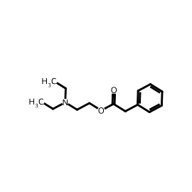 CCN(CC)CCOC(=O)Cc1ccccc1